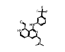 CN(C)Cc1cc2c(c(Nc3cccc(C(F)(F)F)c3)n1)C(C=O)NC=C2